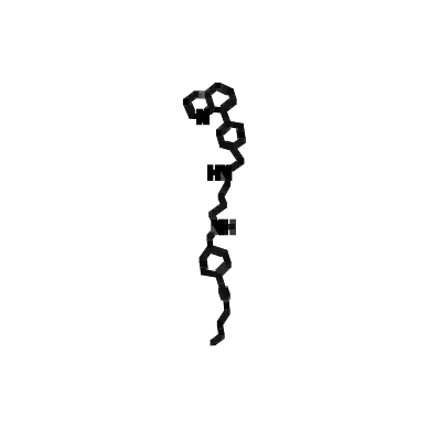 CCCCC#Cc1ccc(CNCCCCNCc2ccc(-c3cccc4cccnc34)cc2)cc1